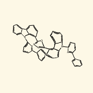 c1ccc(-c2cccc(-n3c4ccccc4c4c(-c5nnc(-c6cccc7c8ccccc8n(-c8cccc(-c9ccccc9)n8)c67)o5)cccc43)n2)cc1